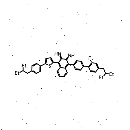 CCC(CC)Cc1ccc(-c2ccc(C3=c4ccccc4=C(c4ccc(-c5ccc(CC(CC)CC)cc5F)cc4)C(=N)C3=N)s2)cc1